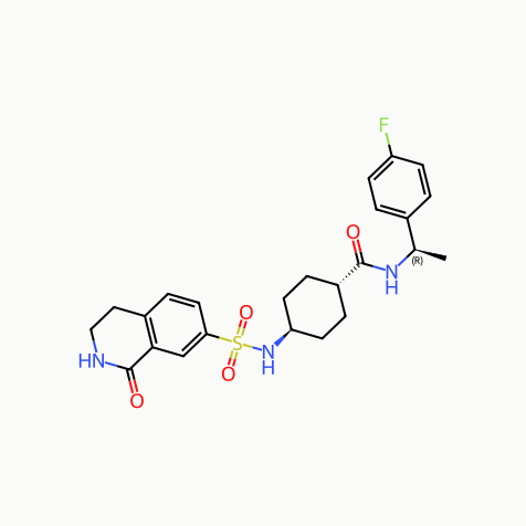 C[C@@H](NC(=O)[C@H]1CC[C@H](NS(=O)(=O)c2ccc3c(c2)C(=O)NCC3)CC1)c1ccc(F)cc1